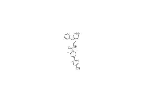 C[C@@H]1CN(c2ncc(C#N)cn2)C[C@@H](C)N1C(=O)NCCC1(Cc2ccccc2)CCNCC1